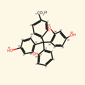 O=C(O)c1ccc(C(c2ccccc2)(c2ccc(O)cc2O)c2ccc(O)cc2O)cc1